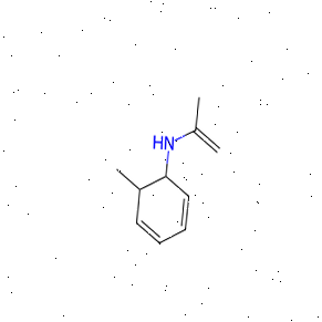 C=C(C)NC1C=CC=CC1C